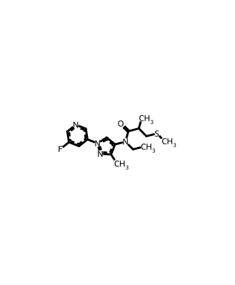 CCN(C(=O)C(C)CSC)c1cn(-c2cncc(F)c2)nc1C